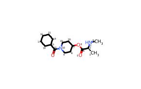 CN[C@@H](C)C(=O)OC1CCN(C(=O)C2CCCCC2)CC1